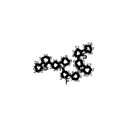 Fc1ccc(-n2c3ccccc3c3cc(-c4cccc5c4sc4ccccc45)ccc32)cc1-c1cccc(-n2c3ccccc3c3cc(-c4cccc5c4sc4ccccc45)ccc32)c1